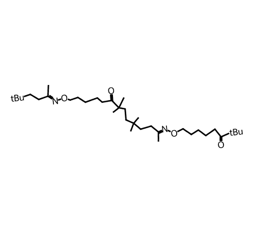 C/C(CCC(C)(C)C)=N\OCCCCCC(=O)C(C)(C)CCC(C)(C)CC/C(C)=N/OCCCCCC(=O)C(C)(C)C